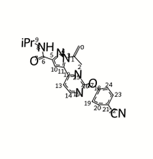 C=C(C)n1nc(C(=O)NC(C)C)cc1-c1ccnc(Oc2ccc(C#N)cc2)n1